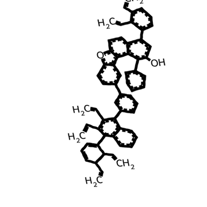 C=Cc1cccc(-c2cc(O)c(-c3ccccc3)c3c2ccc2oc4ccc(-c5cccc(-c6c(C=C)c(C=C)c(C7=CC=CC(C=C)C7C=C)c7ccccc67)c5)cc4c23)c1C=C